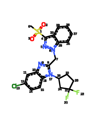 CS(=O)(=O)c1nn(Cc2nc3cc(Cl)ccc3n2C2CCC(F)(F)C2)c2ccccc12